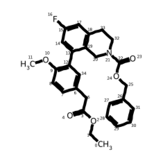 CCOC(=O)Cc1ccc(OC)c(-c2cc(F)cc3c2CN(C(=O)OCc2ccccc2)CC3)c1